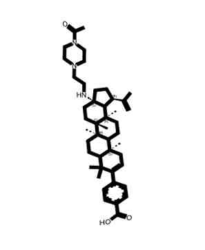 C=C(C)[C@@H]1CC[C@]2(NCCN3CCN(C(C)=O)CC3)CC[C@]3(C)[C@](C)(CCC4[C@@]5(C)CC=C(c6ccc(C(=O)O)cc6)C(C)(C)C5CC[C@]43C)C12